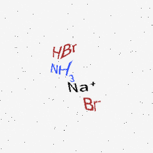 Br.N.[Br-].[Na+]